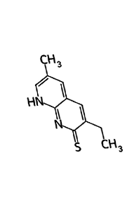 CCc1cc2cc(C)c[nH]c-2nc1=S